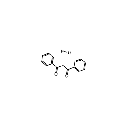 O=C(CC(=O)c1ccccc1)c1ccccc1.[F][Ti]